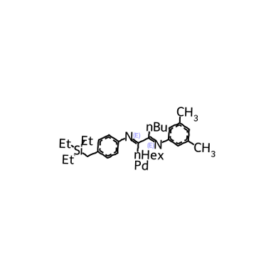 CCCCCCC(=N\c1ccc(C[Si](CC)(CC)CC)cc1)/C(CCCC)=N/c1cc(C)cc(C)c1.[Pd]